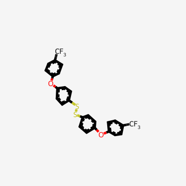 FC(F)(F)c1ccc(Oc2ccc(SSc3ccc(Oc4ccc(C(F)(F)F)cc4)cc3)cc2)cc1